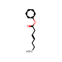 CCCCCCCCCCC=CCC(=O)Oc1ccccc1